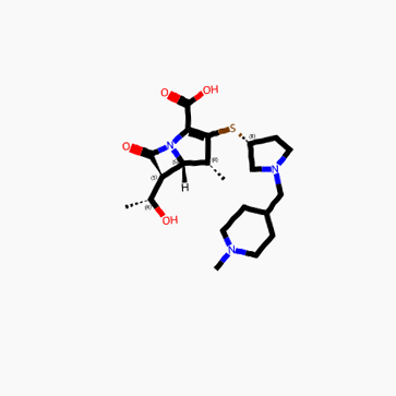 C[C@@H](O)[C@H]1C(=O)N2C(C(=O)O)=C(S[C@@H]3CCN(CC4CCN(C)CC4)C3)[C@H](C)[C@H]12